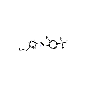 Fc1cc(C(F)(F)F)ccc1/C=C/c1nc(CCl)co1